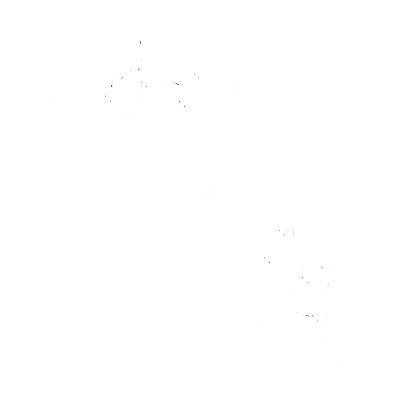 COC(=O)N[C@H](C(=O)N1[C@@H]2C[C@@H]2C[C@H]1c1nc(Cl)c(-c2cc3c4c(c2)OCc2cc(-c5[nH]c([C@@H]6C[C@H]7C[C@H]7N6C(=O)[C@@H](NC(=O)OC)C(C)C)nc5Cl)cc(c2-4)OC3)[nH]1)C(C)C